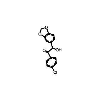 O=C(c1ccc(Cl)cc1)C(O)c1ccc2c(c1)OCO2